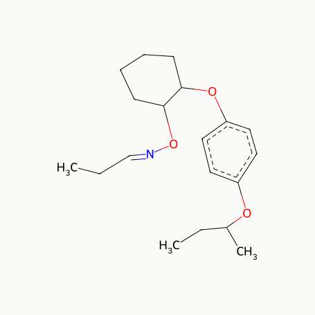 CC/C=N/OC1CCCCC1Oc1ccc(OC(C)CC)cc1